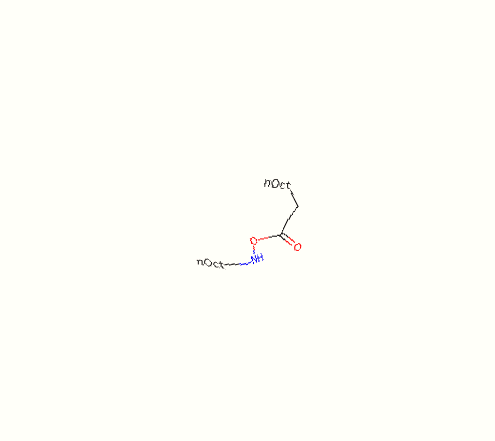 CCCCCCCCCC(=O)ONCCCCCCCC